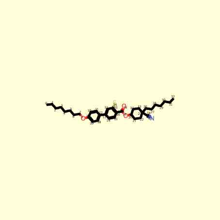 CCCCCCCCOc1ccc(-c2ccc(C(=O)OC3CCC(C#N)(CCCCCCC)CC3)c(F)c2)cc1